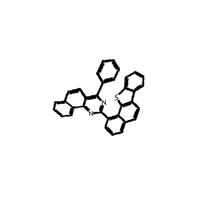 c1ccc(-c2nc(-c3cccc4ccc5c6ccccc6sc5c34)nc3c2ccc2ccccc23)cc1